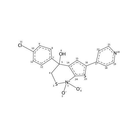 [O-][N+]1([O-])SCC(O)(c2ccc(Cl)cc2)c2cc(-c3ccncc3)sc21